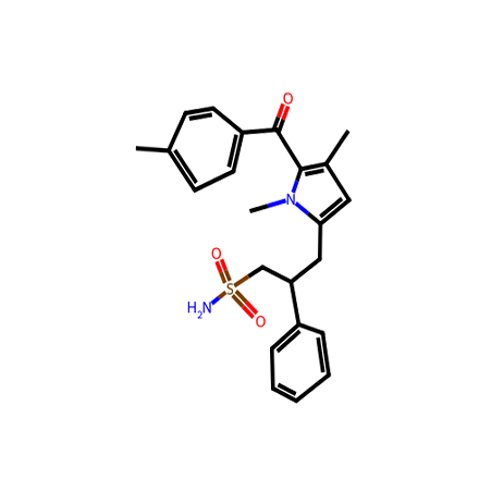 Cc1ccc(C(=O)c2c(C)cc(CC(CS(N)(=O)=O)c3ccccc3)n2C)cc1